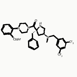 COc1ccccc1N1CCN(C(=O)[C@]2(Cc3ccccc3)C[C@H](N(C)Cc3cc(C(F)(F)F)cc(C(F)(F)F)c3)CN2)CC1